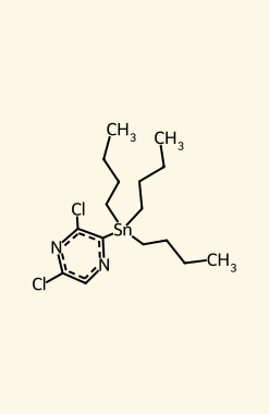 CCC[CH2][Sn]([CH2]CCC)([CH2]CCC)[c]1ncc(Cl)nc1Cl